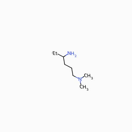 C[CH]C(N)CCCN(C)C